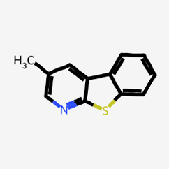 Cc1cnc2sc3ccccc3c2c1